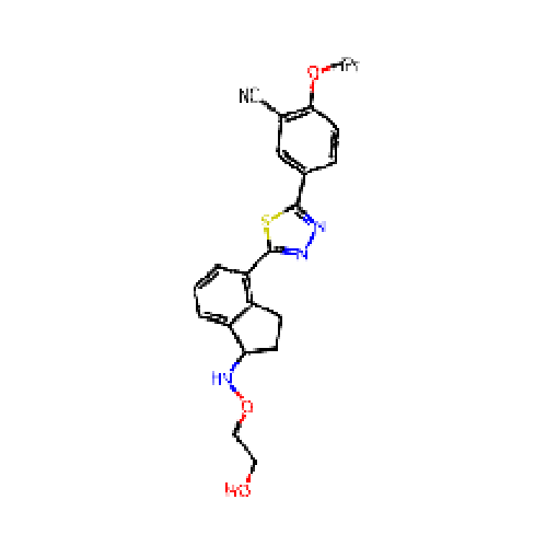 CC(C)Oc1ccc(-c2nnc(-c3cccc4c3CCC4NOCCO)s2)cc1C#N